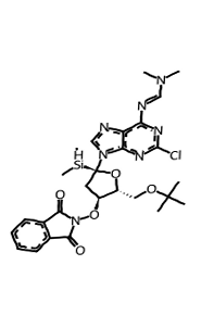 CN(C)C=Nc1nc(Cl)nc2c1ncn2[C@@]1([SiH](C)C)C[C@H](ON2C(=O)c3ccccc3C2=O)[C@@H](COC(C)(C)C)O1